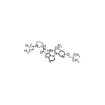 C=CC(=C)N1CCC[C@@H](NC(=O)c2sc3nccc4c3c2NC(=O)N4c2cnc(OCC(C)C)cc2C)C1